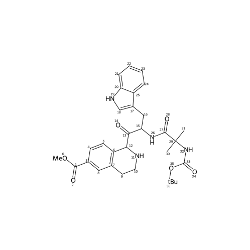 COC(=O)c1ccc2c(c1)CCNC2C(=O)C(Cc1c[nH]c2ccccc12)NC(=O)C(C)(C)NC(=O)OC(C)(C)C